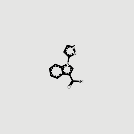 CC(C)C(=O)c1cn(-c2ccsn2)c2ccccc12